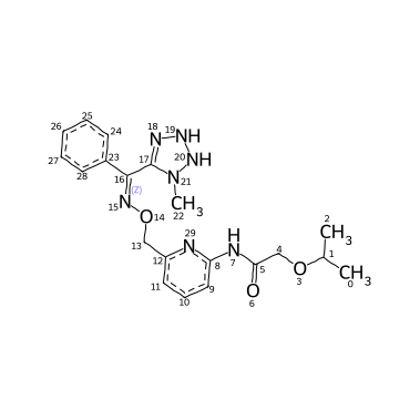 CC(C)OCC(=O)Nc1cccc(CO/N=C(\C2=NNNN2C)c2ccccc2)n1